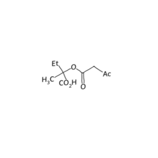 CCC(C)(OC(=O)CC(C)=O)C(=O)O